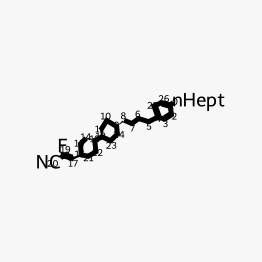 CCCCCCCc1ccc(CCCC[C@H]2CC[C@H]([C@H]3CC[C@H](C=C(F)C#N)CC3)CC2)cc1